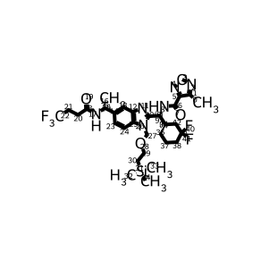 Cc1nonc1C(=O)N[C@H](c1nc2cc([C@@H](C)NC(=O)CCC(F)(F)F)ccc2n1COCC[Si](C)(C)C)[C@@H]1CCCC(F)(F)C1